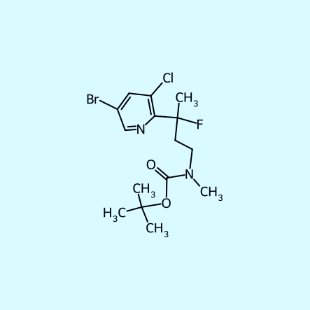 CN(CCC(C)(F)c1ncc(Br)cc1Cl)C(=O)OC(C)(C)C